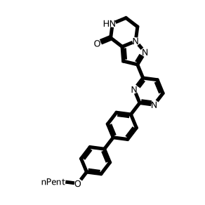 CCCCCOc1ccc(-c2ccc(-c3nccc(-c4cc5n(n4)CCNC5=O)n3)cc2)cc1